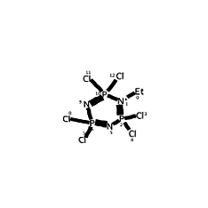 CC[N+]1=P(Cl)(Cl)N=P(Cl)(Cl)N=P1(Cl)Cl